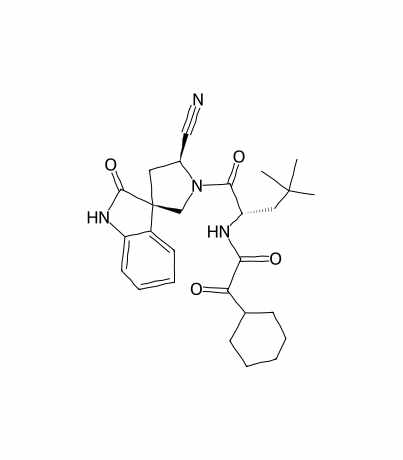 CC(C)(C)C[C@H](NC(=O)C(=O)C1CCCCC1)C(=O)N1C[C@]2(C[C@H]1C#N)C(=O)Nc1ccccc12